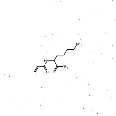 C=CC(=O)NC(CCCCN)C(N)=O